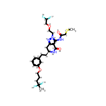 CSCC(=O)Nc1c2c(nn1CCOCC(F)F)C[C@H](CCc1cccc(OCCCC(C)(F)F)c1)NC2=O